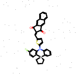 O=C1C(=Cc2ccc(N3c4ccccc4[Si]4(CCCC4)c4ccc(F)cc43)s2)C(=O)c2cc3ccccc3cc21